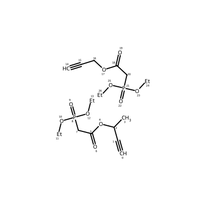 C#CC(C)OC(=O)CP(=O)(OCC)OCC.C#CCOC(=O)CP(=O)(OCC)OCC